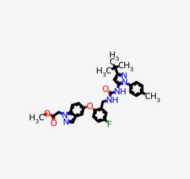 COC(=O)Cn1ncc2cc(Oc3ccc(F)cc3CNC(=O)Nc3cc(C(C)(C)C)nn3-c3ccc(C)cc3)ccc21